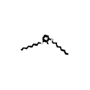 CCCCCCCCOc1cccc(OCCCCCCCC)c1C